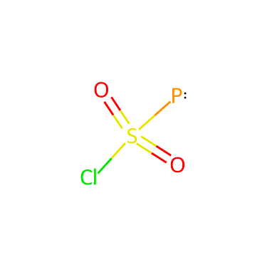 O=S(=O)([P])Cl